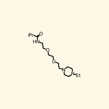 CCN1CCN(CCOCCOCCNC(=O)C(C)C)CC1